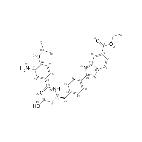 CCOC(=O)c1ccn2cc(-c3ccc(C[C@@H](CCO)NC(=O)c4ccc(OC(C)C)c(N)c4)cc3)nc2c1